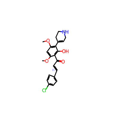 COc1cc(OC)c(C2=CCNCC2)c(O)c1C(=O)/C=C/c1ccc(Cl)cc1